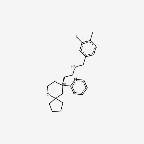 Cc1ncc(CNCC[C@]2(c3ccccn3)CCOC3(CCCC3)C2)cc1I